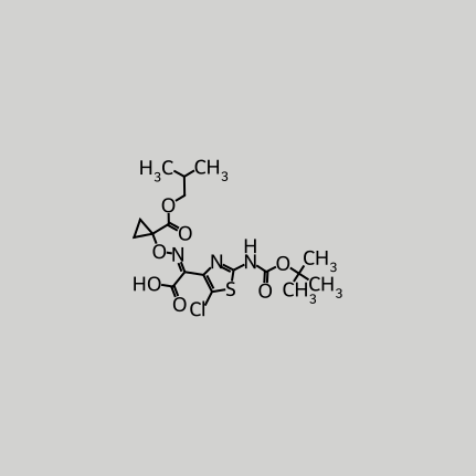 CC(C)COC(=O)C1(O/N=C(\C(=O)O)c2nc(NC(=O)OC(C)(C)C)sc2Cl)CC1